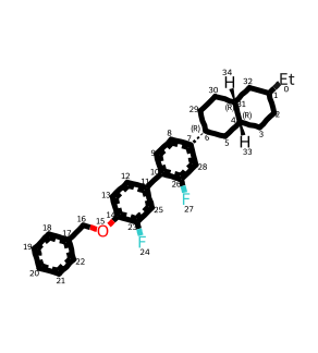 CCC1CC[C@@H]2C[C@H](c3ccc(-c4ccc(OCc5ccccc5)c(F)c4)c(F)c3)CC[C@@H]2C1